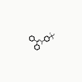 CN(N=C(c1ccccc1)c1ccccc1)c1ccc(C(F)(F)F)cc1